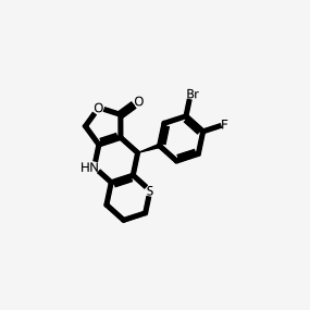 O=C1OCC2=C1[C@@H](c1ccc(F)c(Br)c1)C1=C(CCCS1)N2